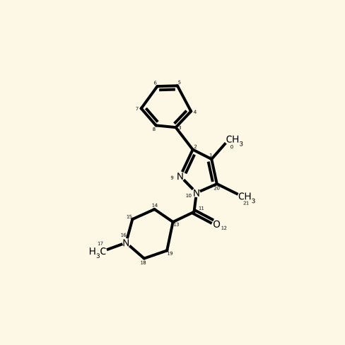 Cc1c(-c2ccccc2)nn(C(=O)C2CCN(C)CC2)c1C